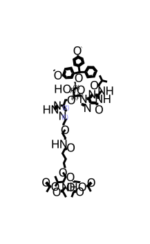 COc1ccc(C(OC[C@H]2O[C@@H](n3cnc4c(=O)[nH]c(NC(=O)C(C)C)nc43)[C@H](OC/C(=C/N=C/COCCNC(=O)CCCCOC(OC(COC(C)=O)OC(C)=O)C(NC(C)=O)C(C)OC(C)=O)N=N)[C@@H]2O)(c2ccccc2)c2ccc(OC)cc2)cc1